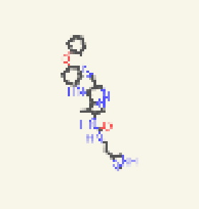 Cc1c(NC(=O)NCCc2c[nH]cn2)cn2ncc(C#N)c(Nc3ccc(Oc4ccccc4)cc3)c12